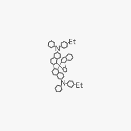 CCc1ccc(N(c2ccccc2)c2ccc3c4c(ccc3c2)-c2ccc3cc(N(c5ccccc5)c5ccc(CC)cc5)ccc3c2C42c3ccccc3-c3c2ccc2ccccc32)cc1